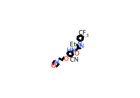 CCc1c(C(=O)Nc2ccc(OCCCN3CCOCC3)c(C#N)c2)cnn1-c1ccc(C(F)(F)F)cc1